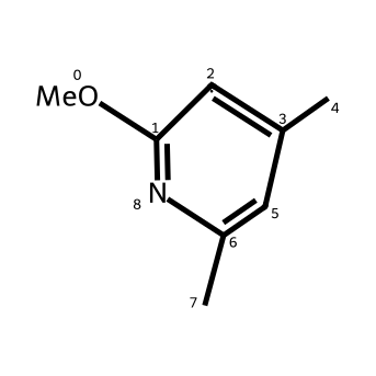 COc1[c]c(C)cc(C)n1